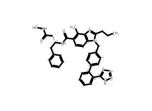 CCCc1nc2c(C)c(C(=O)N[C@@H](CC(=O)NO)Cc3ccccc3)ccc2n1Cc1ccc(-c2ccccc2-c2nnn[nH]2)cc1